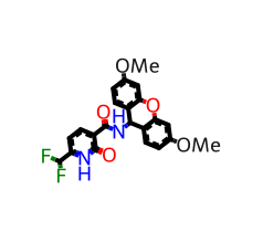 COc1ccc2c(c1)Oc1cc(OC)ccc1C2NC(=O)c1ccc(C(F)F)[nH]c1=O